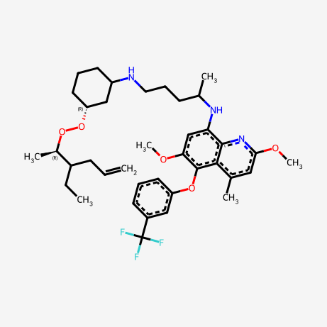 C=CCC(CC)[C@@H](C)OO[C@@H]1CCCC(NCCCC(C)Nc2cc(OC)c(Oc3cccc(C(F)(F)F)c3)c3c(C)cc(OC)nc23)C1